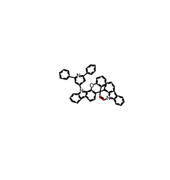 c1ccc(-c2cc(-n3c4ccccc4c4ccc5c(c43)Oc3ccccc3C53c4ccccc4-n4c5ccccc5c5cccc3c54)cc(-c3ccccc3)n2)cc1